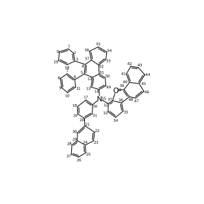 c1ccc(-c2c(-c3ccccc3)c3cc(N(c4cccc(-c5ccc6ccccc6c5)c4)c4cccc5c4oc4c6ccccc6ccc54)ccc3c3ccccc23)cc1